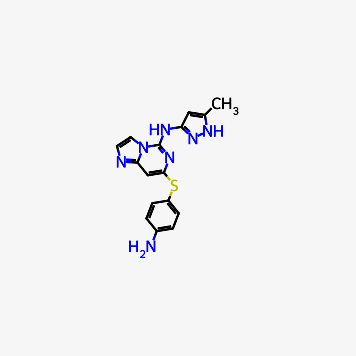 Cc1cc(Nc2nc(Sc3ccc(N)cc3)cc3nccn23)n[nH]1